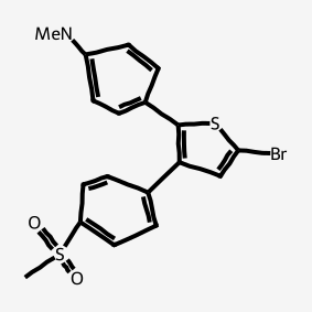 CNc1ccc(-c2sc(Br)cc2-c2ccc(S(C)(=O)=O)cc2)cc1